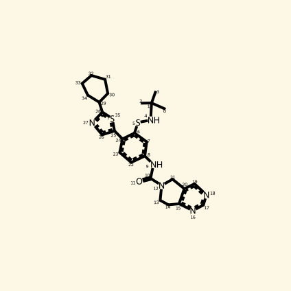 CC(C)(C)NSc1cc(NC(=O)N2CCc3ncncc3C2)ccc1-c1cnc(C2CCCCC2)s1